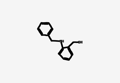 OCc1ccccc1NCc1ccccc1